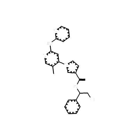 Cc1cnc(Nc2ccccn2)cc1-n1ccc(C(=O)NC(CO)c2ccccc2)c1